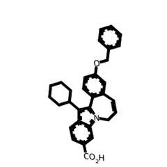 O=C(O)c1ccc2c(C3CCCCC3)c3n(c2c1)CC=Cc1cc(OCc2ccccc2)ccc1-3